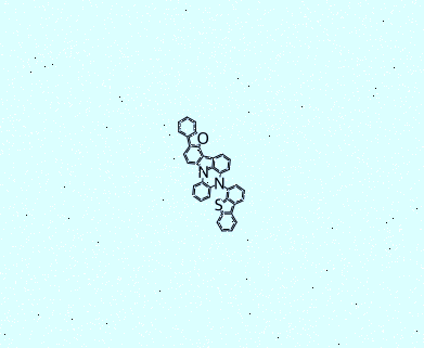 c1ccc2c(c1)N(c1cccc3c1sc1ccccc13)c1cccc3c4c5oc6ccccc6c5ccc4n-2c13